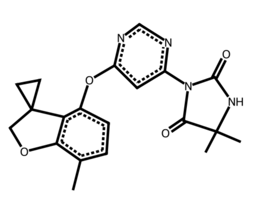 Cc1ccc(Oc2cc(N3C(=O)NC(C)(C)C3=O)ncn2)c2c1OCC21CC1